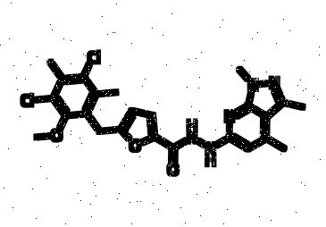 COc1c(Cl)c(C)c(Cl)c(C)c1Cc1ccc(C(=O)NNc2cc(C)c3c(C)nn(C)c3n2)o1